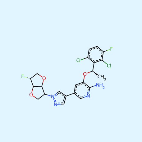 C[C@@H](Oc1cc(-c2cnn(C3COC4C3OC[C@H]4F)c2)cnc1N)c1c(Cl)ccc(F)c1Cl